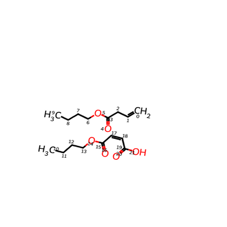 C=CCC(=O)OCCCC.CCCCOC(=O)/C=C\C(=O)O